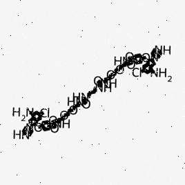 Nc1cc(Cl)cc2c1C[C@H](N1CCNCC1)[C@H]2Oc1ccc(S(=O)(=O)NCCOCCOCCNC(=O)NCCCCNC(=O)NCCOCCOCCNS(=O)(=O)c2ccc(O[C@H]3c4cc(Cl)cc(N)c4C[C@@H]3N3CCNCC3)cc2)cc1